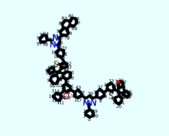 c1ccc(-c2nc(-c3ccc(-c4cccc5c4Sc4ccccc4C54c5ccccc5-c5ccccc54)cc3)cc(-c3ccc(-c4cc(-c5cccc6c5-c5ccccc5C65c6ccccc6Sc6c(-c7ccc(-c8cc(-c9ccc%10c(ccc%11ccccc%11%10)c9)nc(-c9ccccc9)n8)cc7)cccc65)cc5c4oc4ccccc45)cc3)n2)cc1